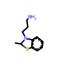 CC1Sc2ccccc2N1CCCN